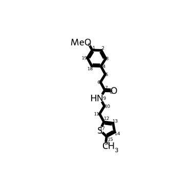 COc1ccc(CCC(=O)NCCc2ccc(C)s2)cc1